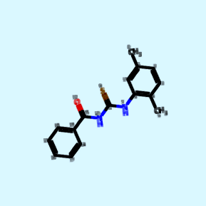 Cc1ccc(C)c(NC(=S)NC(=O)c2ccccc2)c1